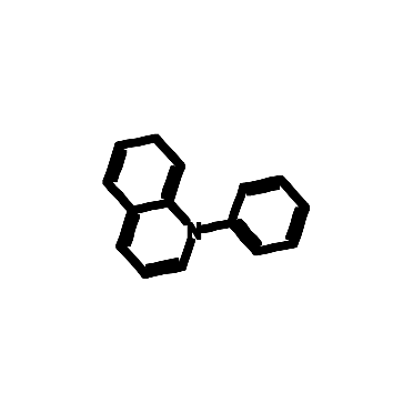 C1=CN(c2ccccc2)C2=CCC=CC2=C1